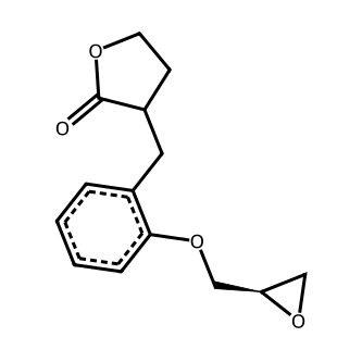 O=C1OCCC1Cc1ccccc1OC[C@H]1CO1